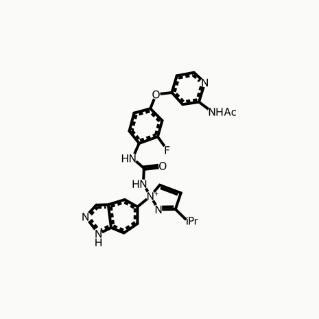 CC(=O)Nc1cc(Oc2ccc(NC(=O)N[N+]3(c4ccc5[nH]ncc5c4)C=CC(C(C)C)=N3)c(F)c2)ccn1